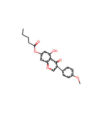 CCCCC(=O)Oc1cc(O)c2c(=O)c(-c3ccc(OC)cc3)coc2c1